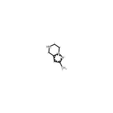 Cc1cc2n(n1)CCNC2